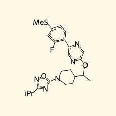 CSc1ccc(-c2cnc(OC(C)C3CCN(c4nc(C(C)C)no4)CC3)cn2)c(F)c1